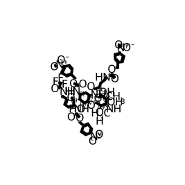 CN[C@@H]1[C@@H](O)[C@@H](O[C@H]2[C@H](NC(=O)[C@@H](O)CCNC(=O)OCc3ccc([N+](=O)[O-])cc3)C[C@H](NC(=O)OCc3ccc([N+](=O)[O-])cc3)C([C@H]3OC(CNC(=O)C(F)(F)F)=CC[C@H]3NC(=O)OCc3ccc([N+](=O)[O-])cc3)[C@@H]2O)OC[C@]1(C)O